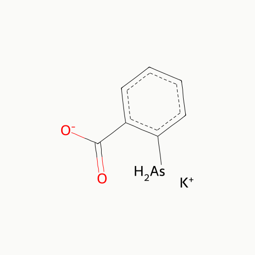 O=C([O-])c1ccccc1[AsH2].[K+]